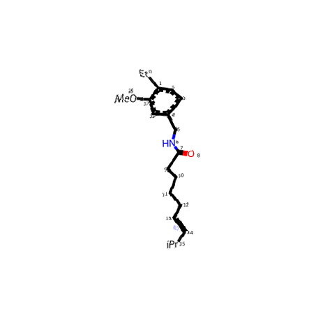 CCc1ccc(CNC(=O)CCCC/C=C/C(C)C)cc1OC